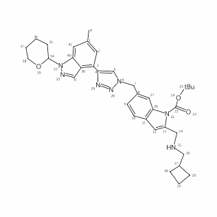 Cc1cc(-c2cn(Cc3ccc4cc(CNCC5CCC5)n(C(=O)OC(C)(C)C)c4c3)nn2)c2cnn(C3CCCCO3)c2c1